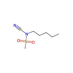 CCCCCN(C#N)S(C)(=O)=O